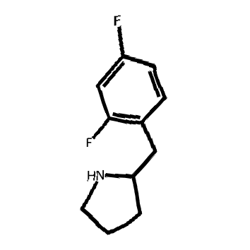 Fc1ccc(CC2CCCN2)c(F)c1